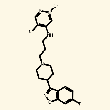 [O-][n+]1cc(NCCCN2CCC(c3noc4cc(F)ccc34)CC2)c(Cl)cn1